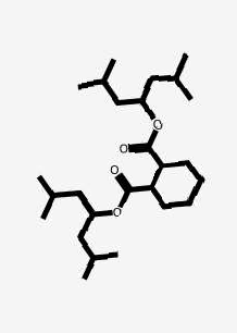 CC(C)CC(CC(C)C)OC(=O)C1CCCCC1C(=O)OC(CC(C)C)CC(C)C